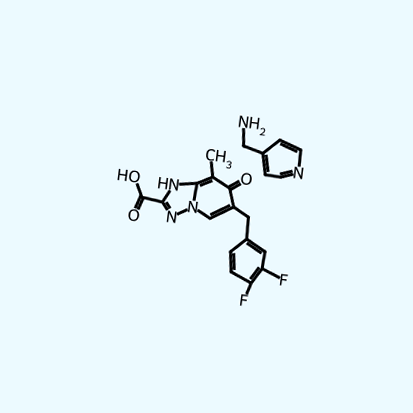 Cc1c(=O)c(Cc2ccc(F)c(F)c2)cn2nc(C(=O)O)[nH]c12.NCc1ccncc1